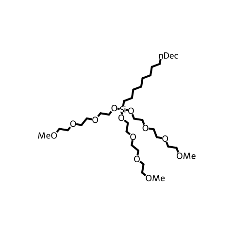 CCCCCCCCCCCCCCCCCC[Si](OCCOCCOCCOC)(OCCOCCOCCOC)OCCOCCOCCOC